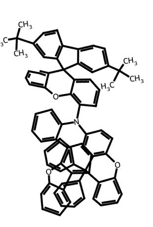 CC(C)(C)c1ccc2c(c1)C1(c3ccccc3Oc3c(N(c4ccc5c(c4)C(c4ccccc4)(c4ccccc4)c4ccccc4O5)c4ccccc4-c4cccc5c4oc4ccccc45)cccc31)c1cc(C(C)(C)C)ccc1-2